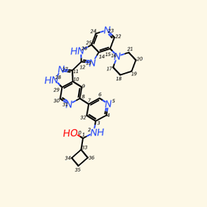 OC(Nc1cncc(-c2cc3c(-c4nc5c(N6CCCCC6)cncc5[nH]4)n[nH]c3cn2)c1)C1CCC1